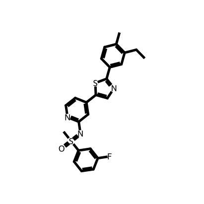 CCc1cc(-c2ncc(-c3ccnc(N=S(C)(=O)c4cccc(F)c4)c3)s2)ccc1C